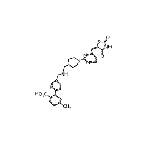 Cc1ccc(C(=O)O)c(-c2ccc(CNCC3CCN(c4nccc(C=C5SC(=O)NC5=O)n4)CC3)cn2)c1